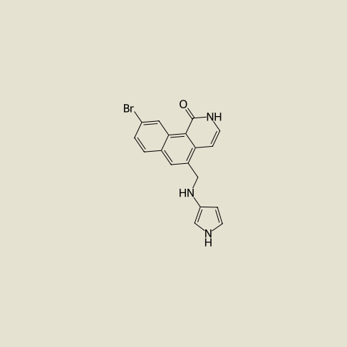 O=c1[nH]ccc2c(CNc3cc[nH]c3)cc3ccc(Br)cc3c12